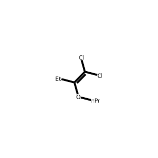 CCCOC(CC)=C(Cl)Cl